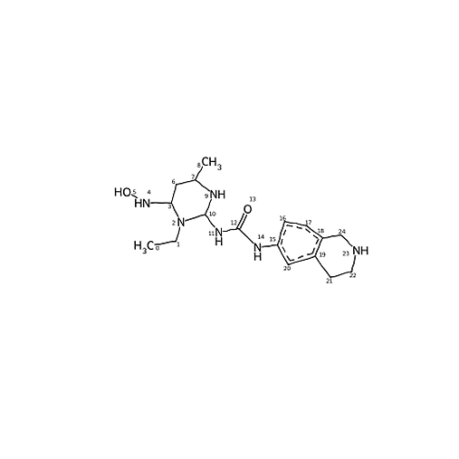 CCN1C(NO)CC(C)NC1NC(=O)Nc1ccc2c(c1)CCNC2